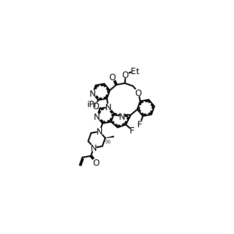 C=CC(=O)N1CCN(c2nc(=O)n3c4nc(c(F)cc24)-c2c(F)cccc2OCC(OCC)C(=O)c2ccnc(C(C)C)c2-3)[C@@H](C)C1